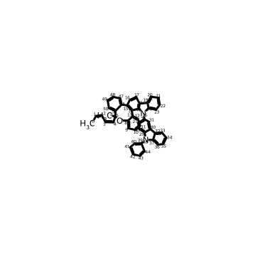 C/C=C\C=C/C1(C)Oc2ccccc2-c2c(ccc3c4ccccc4n(-c4ccc5c(c4)c4ccccc4n5-c4ccccc4)c23)-c2ccccc21